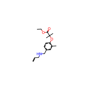 C=CCNCc1ccc(OC(C)(C)C(=O)OCC)c(C)c1